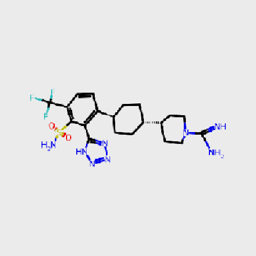 N=C(N)N1CCC([C@H]2CC[C@H](c3ccc(C(F)(F)F)c(S(N)(=O)=O)c3-c3nnn[nH]3)CC2)CC1